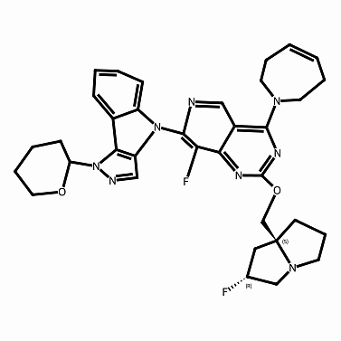 Fc1c(-n2c3ccccc3c3c2cnn3C2CCCCO2)ncc2c(N3CCC=CCC3)nc(OC[C@@]34CCCN3C[C@H](F)C4)nc12